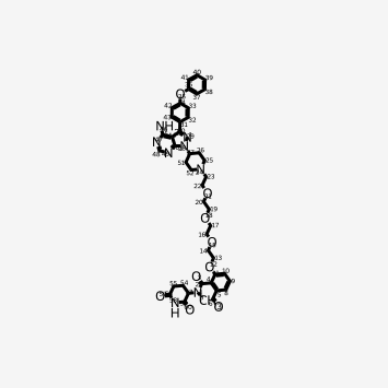 CN(C(=O)c1c(C=O)cccc1OCCOCCOCCOCCN1CCC(n2nc(-c3ccc(Oc4ccccc4)cc3)c3c(N)ncnc32)CC1)C1CCC(=O)NC1=O